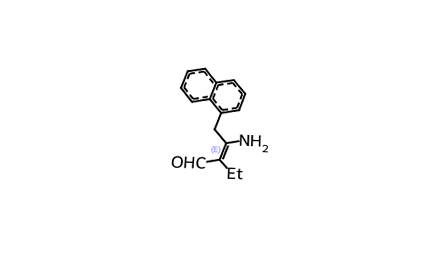 CC/C(C=O)=C(\N)Cc1cccc2ccccc12